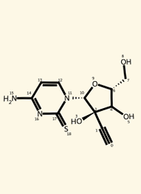 C#C[C@@]1(O)C(O)[C@@H](CO)O[C@H]1n1ccc(N)nc1=S